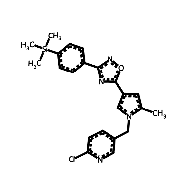 Cc1cc(-c2nc(-c3ccc([Si](C)(C)C)cc3)no2)cn1Cc1ccc(Cl)nc1